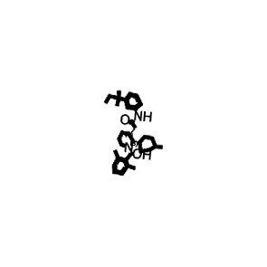 CCC(C)(C)c1cccc(NC(=O)C[C@H]2CCCN(C(O)c3c(C)cccc3C)[C@H]2C2CCC(C)CC2)c1